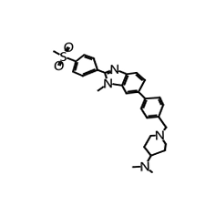 CN(C)C1CCN(Cc2ccc(-c3ccc4nc(-c5ccc(S(C)(=O)=O)cc5)n(C)c4c3)cc2)CC1